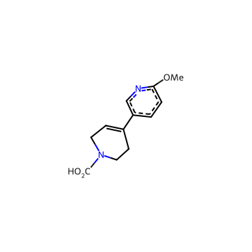 COc1ccc(C2=CCN(C(=O)O)CC2)cn1